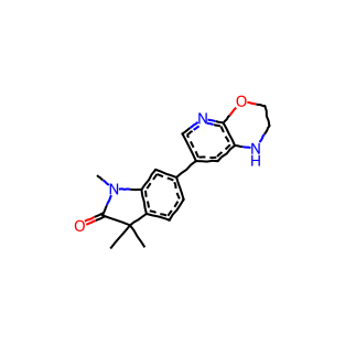 CN1C(=O)C(C)(C)c2ccc(-c3cnc4c(c3)NCCO4)cc21